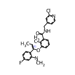 C=Nc1cc(F)ccc1/C(=C\C)Oc1cccc(C(=O)NCc2ccnc(Cl)c2)c1C